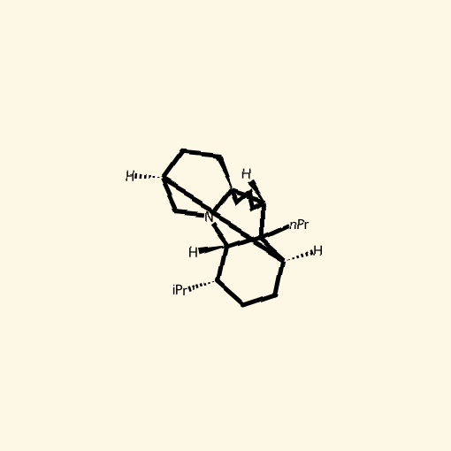 CCCC12[C@@H]3[C@@H](C(C)C)CC[C@H]1[C@@H]1CC[C@@]4(CCC[C@@H]24)N3C1